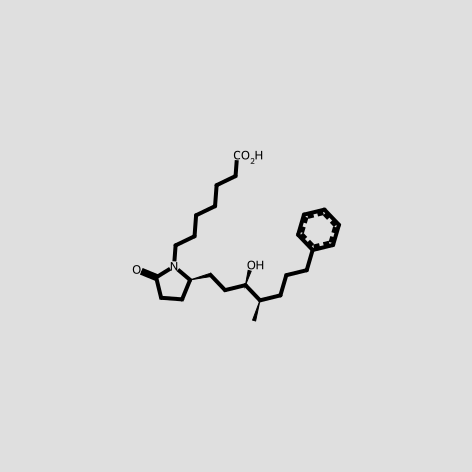 C[C@H](CCCc1ccccc1)[C@H](O)CC[C@H]1CCC(=O)N1CCCCCCC(=O)O